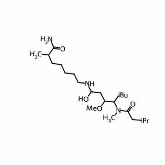 CCC(C)C(C(CC(O)NCCCCCC(C)C(N)=O)OC)N(C)C(=O)CC(C)C